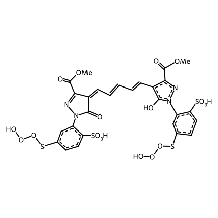 COC(=O)C1=NN(c2cc(SOOO)ccc2S(=O)(=O)O)C(=O)C1=CC=CC=Cc1c(C(=O)OC)nn(-c2cc(SOOO)ccc2S(=O)(=O)O)c1O